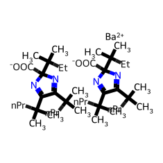 CCCC(C)(C)C1=NC(C(=O)[O-])(C(C)(C)CC)N=C1C(C)(C)CCC.CCCC(C)(C)C1=NC(C(=O)[O-])(C(C)(C)CC)N=C1C(C)(C)CCC.[Ba+2]